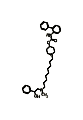 CN(CCCCCCCCCN1CCC(OC(=O)Nc2ccccc2-c2ccccc2)CC1)CC(O)c1ccccc1